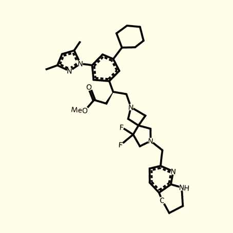 COC(=O)C[C@H](CN1CC2(CN(Cc3ccc4c(n3)NCCC4)CC2(F)F)C1)c1cc(C2CCCCC2)cc(-n2nc(C)cc2C)c1